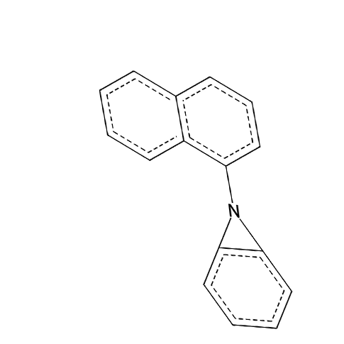 c1ccc2c(c1)N2c1cccc2ccccc12